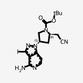 CC(C)(C)OC(=O)N1C[C@@H](n2nc(I)c3c(N)nccc32)C[C@@H]1CC#N